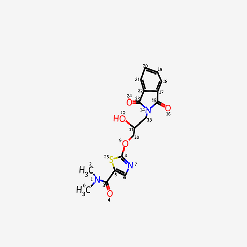 CN(C)C(=O)c1cnc(OCC(O)CN2C(=O)c3ccccc3C2=O)s1